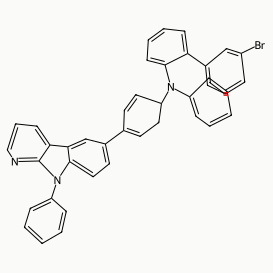 Brc1cccc(-c2ccccc2N(c2ccccc2)C2C=CC(c3ccc4c(c3)c3cccnc3n4-c3ccccc3)=CC2)c1